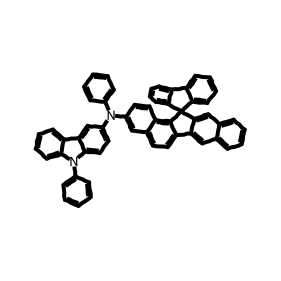 c1ccc(N(c2ccc3c4c(ccc3c2)-c2cc3ccccc3cc2C42c3ccccc3-c3ccccc32)c2ccc3c(c2)c2ccccc2n3-c2ccccc2)cc1